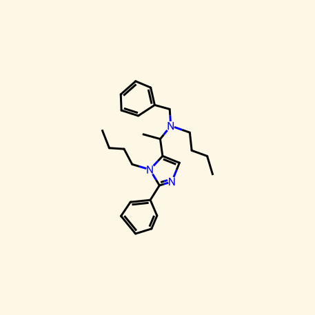 CCCCN(Cc1ccccc1)C(C)c1cnc(-c2ccccc2)n1CCCC